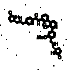 COc1cc(-c2nccc(-c3cccc(NC(=O)c4ccc(CNC[C@H]5CCC(=O)N5)cn4)c3Cl)c2Cl)ccc1CNC[C@@H]1CCC(=O)N1